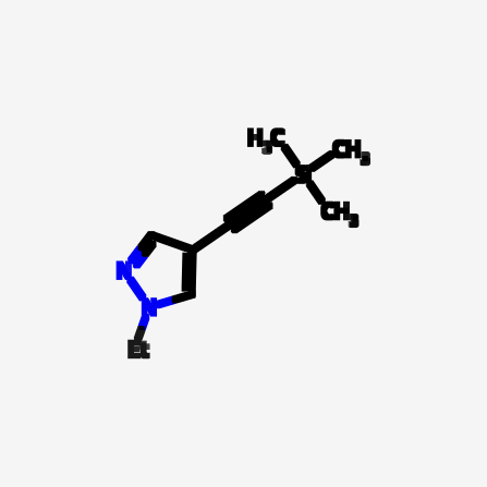 CCn1cc(C#C[Si](C)(C)C)cn1